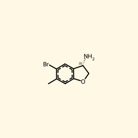 Cc1cc2c(cc1Br)[C@H](N)CO2